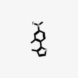 CB(F)c1ccc(-c2sccc2C)c(C)c1